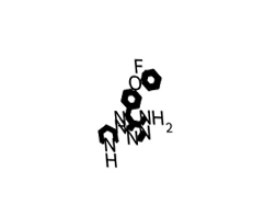 Nc1ncnc2c1c(-c1ccc(Oc3ccccc3F)cc1)nn2[C@@H]1CCCNC1